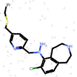 CC(C)CSCc1ccc(CN(N)c2c(Cl)ccc3c2CCNCC3)nc1